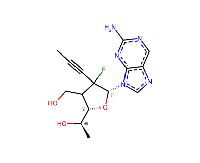 CC#CC1(F)C(CO)[C@@H]([C@@H](C)O)O[C@H]1n1cnc2cnc(N)nc21